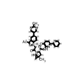 CC(=O)c1nn(CC(=O)N2[C@H](C(=O)Nc3nc(-c4ccccn4)ccc3C)C[C@@]3(C)C[C@@H]23)c2ccc(-c3cnc(C)nc3)cc12